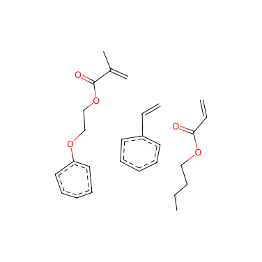 C=C(C)C(=O)OCCOc1ccccc1.C=CC(=O)OCCCC.C=Cc1ccccc1